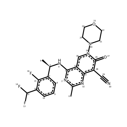 Cc1nc(N[C@H](C)c2cccc(C(F)F)c2F)c2cn(N3CCOCC3)c(=O)c(C#N)c2n1